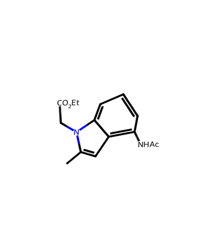 CCOC(=O)Cn1c(C)cc2c(NC(C)=O)cccc21